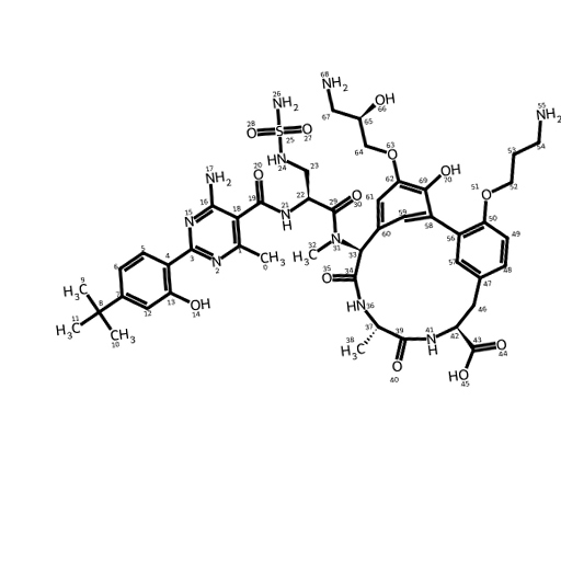 Cc1nc(-c2ccc(C(C)(C)C)cc2O)nc(N)c1C(=O)N[C@@H](CNS(N)(=O)=O)C(=O)N(C)[C@@H]1C(=O)N[C@@H](C)C(=O)N[C@H](C(=O)O)Cc2ccc(OCCCN)c(c2)-c2cc1cc(OC[C@H](O)CN)c2O